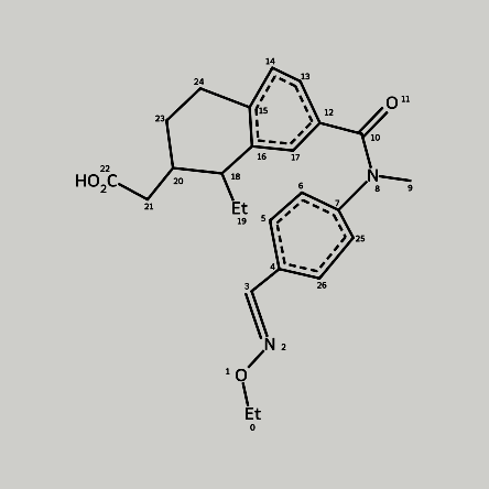 CCON=Cc1ccc(N(C)C(=O)c2ccc3c(c2)C(CC)C(CC(=O)O)CC3)cc1